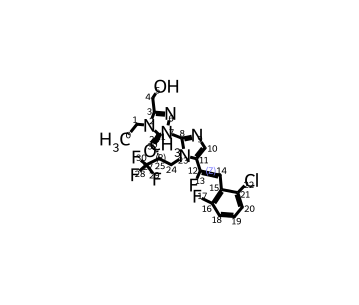 CCn1c(CO)nn(-c2ncc(/C(F)=C/c3c(F)cccc3Cl)n2C[C@@H](C)C(F)(F)F)c1=O